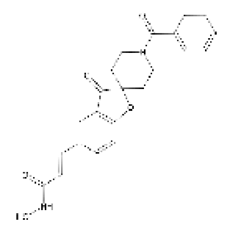 O=C(/C=C/c1ccc2c(c1)C(=O)C1(CCN(C(=O)c3ccccc3)CC1)O2)NO